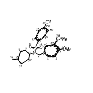 COc1ccc(CN(C2CCC(C)CC2)S(=O)(=O)c2ccc(Cl)cc2)cc1OC